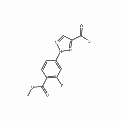 COC(=O)c1ccc(-n2ncc(C(=O)O)n2)cc1F